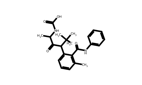 Cc1cccc(C(C(=O)C(C)NC(=O)O)C(C)(C)C)c1C(=O)Nc1ccccc1